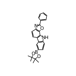 CC1(C)OB(c2ccc3[nH]c4c(ccc5nc(-c6ccccc6)oc54)c3c2)OC1(C)C